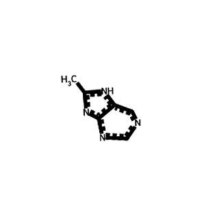 Cc1nc2ncncc2[nH]1